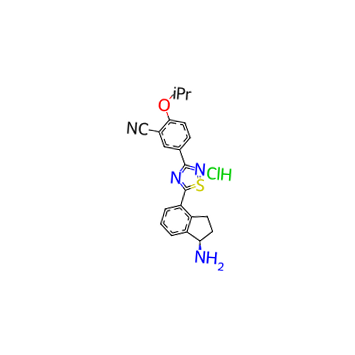 CC(C)Oc1ccc(-c2nsc(-c3cccc4c3CC[C@H]4N)n2)cc1C#N.Cl